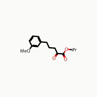 COc1cccc(CCCC(=O)C(=O)OC(C)C)c1